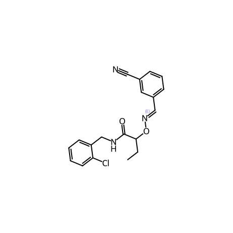 CCC(O/N=C/c1cccc(C#N)c1)C(=O)NCc1ccccc1Cl